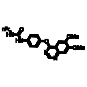 CCCNC(=O)Nc1ccc(Oc2ncnc3cc(OC)c(OC)cc23)cc1